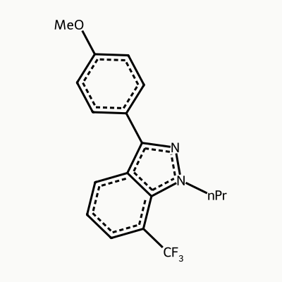 CCCn1nc(-c2ccc(OC)cc2)c2cccc(C(F)(F)F)c21